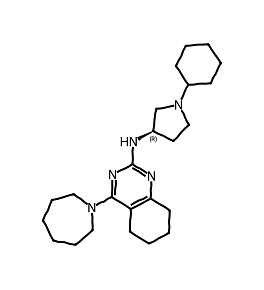 C1CCC(N2CC[C@@H](Nc3nc4c(c(N5CCCCCC5)n3)CCCC4)C2)CC1